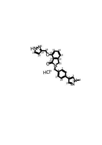 Cl.Cn1cc(-c2ccc(CN3Cc4cccc(OCc5cc[nH]n5)c4C3=O)cc2)cn1